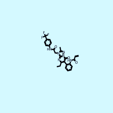 C=CC(=O)Nc1ccccc1-c1c(CC)nc2n(CC(=O)Nc3ccc(C(F)(F)F)cc3)c(C)nn2c1=O